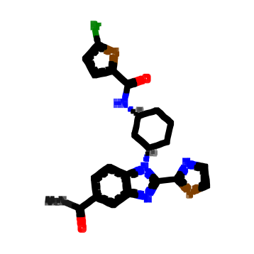 CNC(=O)c1ccc2c(c1)nc(-c1nccs1)n2[C@H]1CCC[C@@H](NC(=O)c2ccc(Br)s2)C1